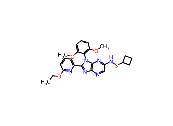 CCOc1cccc(-c2nc3ncc(NSC4CCC4)nc3n2-c2c(OC)cccc2OC)n1